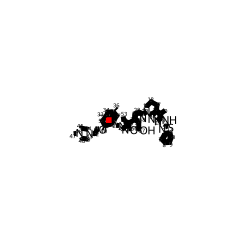 Cc1c(Nc2nc3ccccc3s2)nnc2c1CCCN2c1ccc(-c2cnn(C[C@]34C[C@]5(C)C[C@](C)(C3)C[C@@](OCCN3CCN(C)CC3)(C5)C4)c2C)c(C(=O)O)n1